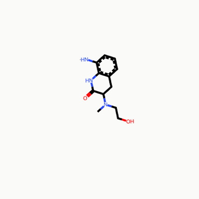 CN(CCO)C1Cc2cccc([NH])c2NC1=O